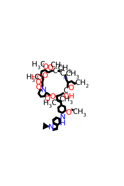 C=CCC1/C=C(\C)CC(C)CC(OC)C2OC(O)(C(=O)C(=O)N3CCCCC3C(=O)OC(C(C)=CC3CCC(Nc4ccc5c(ccn5C5CC5)c4)C(OCC)C3)C(C)C(O)CC1=O)C(C)CC2OC